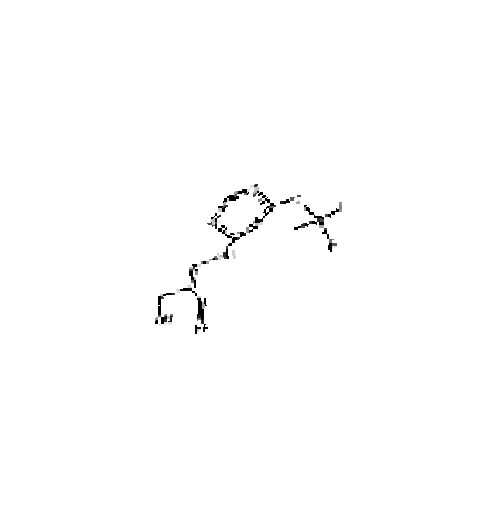 N=N/C(=C\Nc1cccc(OC(F)(F)F)c1)CO